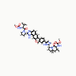 COC(=O)N[C@H](C(=O)N1CCC[C@H]1c1nc2ccc3cc4c(cc3c2[nH]1)OCc1cc(-c2cnc([C@@H]3CC[C@@H]5CC(C)[C@H](NC(=O)OC)C(=O)N53)[nH]2)ccc1-4)C(C)C